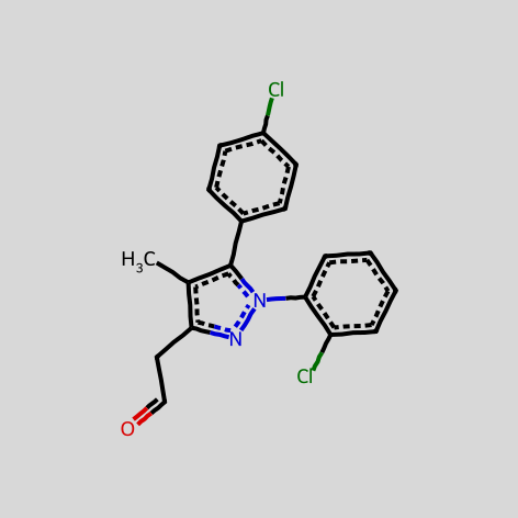 Cc1c(CC=O)nn(-c2ccccc2Cl)c1-c1ccc(Cl)cc1